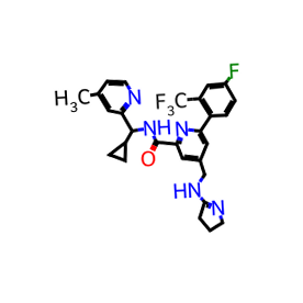 Cc1ccnc(C(NC(=O)c2cc(CNC3=NCCC3)cc(-c3ccc(F)cc3C(F)(F)F)n2)C2CC2)c1